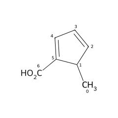 CC1C=CC=C1C(=O)O